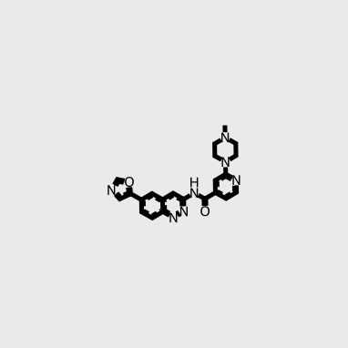 CN1CCN(c2cc(C(=O)Nc3cc4cc(-c5cnco5)ccc4nn3)ccn2)CC1